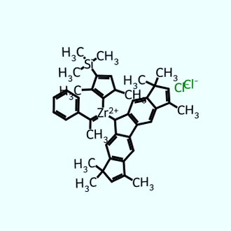 CC1=CC(C)(C)c2cc3c(cc21)-c1cc2c(cc1[CH]3/[Zr+2]([C]1=C(C)C([Si](C)(C)C)=CC1C)=[C](\C)c1ccccc1)C(C)(C)C=C2C.[Cl-].[Cl-]